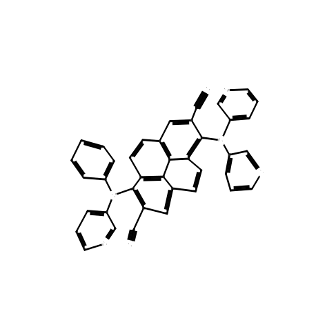 N#Cc1cc2ccc3c(N(c4cccnc4)c4cccnc4)c(C#N)cc4ccc(c1N(c1ccccc1)c1cccnc1)c2c43